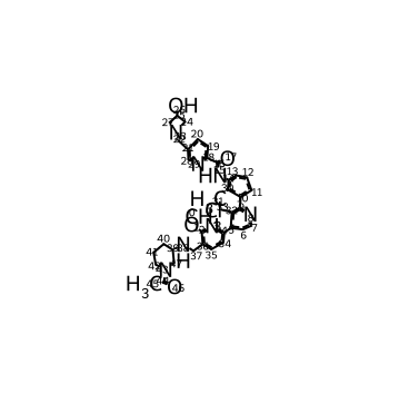 COc1nc(-c2ccnc(-c3cccc(NC(=O)c4ccc(CN5CC(O)C5)cn4)c3C)c2Cl)ccc1CN[C@@H]1CCCN(C(C)=O)C1